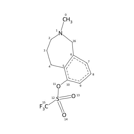 CN1CCCc2c(cccc2OS(=O)(=O)C(F)(F)F)C1